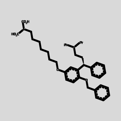 CC(C)N(CC[C@H](c1ccccc1)c1cc(OCCCCCCCN(C(=O)O)C(=O)O)ccc1OCc1ccccc1)C(C)C